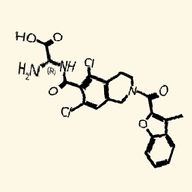 Cc1c(C(=O)N2CCc3c(cc(Cl)c(C(=O)N[C@@H](N)C(=O)O)c3Cl)C2)oc2ccccc12